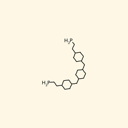 PCCC1CCC(CC2CCC(CC3CCC(CCP)CC3)CC2)CC1